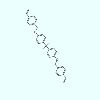 C=Cc1ccc(COc2ccc(C(C)(C)c3ccc(OCc4ccc(C=C)cc4)cc3)cc2)cc1